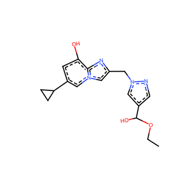 CCOC(O)c1cnn(Cc2cn3cc(C4CC4)cc(O)c3n2)c1